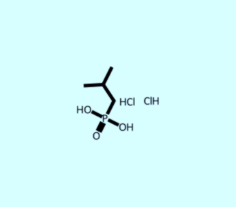 CC(C)CP(=O)(O)O.Cl.Cl